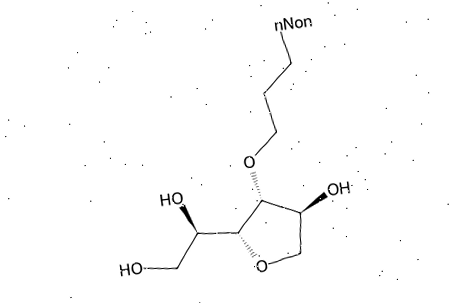 CCCCCCCCCCCCO[C@H]1[C@@H]([C@H](O)CO)OC[C@@H]1O